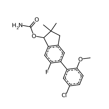 COc1ccc(Cl)cc1-c1cc2c(cc1F)C(OC(N)=O)C(C)(C)C2